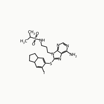 CC(C)S(=O)(=O)NCCCn1c(SC2=CC3CCCC3C=C2I)nc2c(N)ncnc21